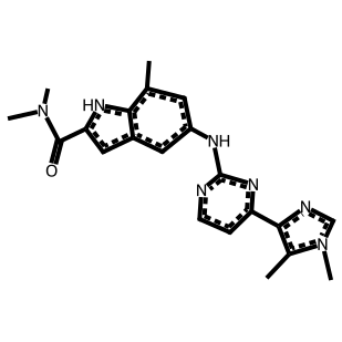 Cc1cc(Nc2nccc(-c3ncn(C)c3C)n2)cc2cc(C(=O)N(C)C)[nH]c12